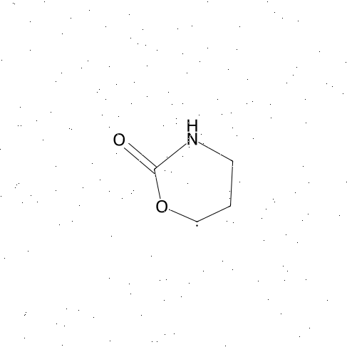 O=C1NCC[CH]O1